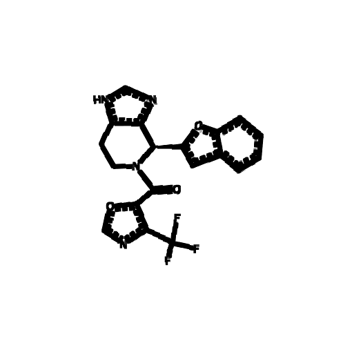 O=C(c1ocnc1C(F)(F)F)N1CCc2[nH]cnc2[C@H]1c1cc2ccccc2o1